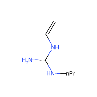 C=CNC(N)NCCC